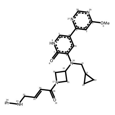 COc1cc(-c2c[nH]c(=O)c(N(CC3CC3)C3CN(C(=O)C=CCNC(C)C)C3)c2)ncn1